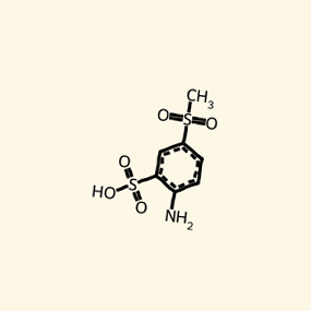 CS(=O)(=O)c1ccc(N)c(S(=O)(=O)O)c1